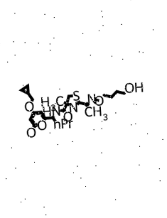 CCCC(NC(=O)C1(C)CSC(/C(C)=N/OCCCCO)=N1)c1cc(OCC2CC2)cc(=O)o1